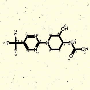 O=C(O)NC1CCN(c2ncc(C(F)(F)F)cn2)CC1O